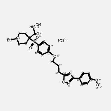 CCN1CCC(C(=O)NO)(S(=O)(=O)c2ccc(OCCCc3nc(-c4ccc(OC(F)(F)F)cc4)no3)cc2)CC1.Cl